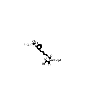 CCCCCCCn1c(=O)c(Br)nn(CCCCc2cccc(OC(C)(C)C(=O)OCC)c2)c1=O